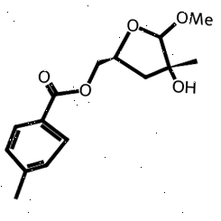 COC1O[C@H](COC(=O)c2ccc(C)cc2)C[C@@]1(C)O